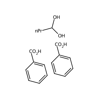 CCCC(O)O.O=C(O)c1ccccc1.O=C(O)c1ccccc1